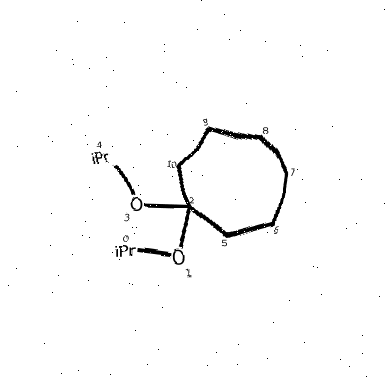 CC(C)OC1(OC(C)C)CCCCCC1